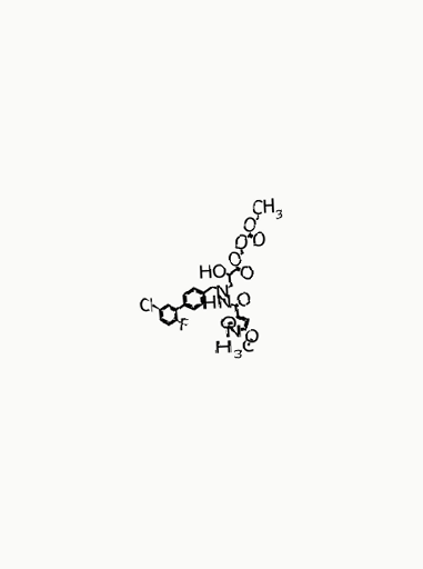 CCOC(=O)OCOC(=O)C(O)CN(Cc1ccc(-c2cc(Cl)ccc2F)cc1)NC(=O)c1cc(OC)no1